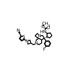 COC(=O)N[C@H]1CCC[C@@H]1C(CN1CCC1)(c1cccc(F)c1)C1CCN(CC2CN(c3ccc(C#N)s3)C2)CC1